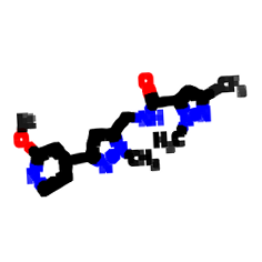 CCOc1cc(-c2cc(CNC(=O)c3cc(C(F)(F)F)nn3C)n(C)n2)ccn1